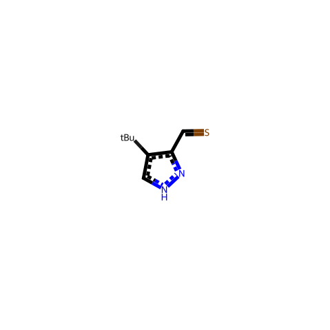 CC(C)(C)c1c[nH]nc1C=S